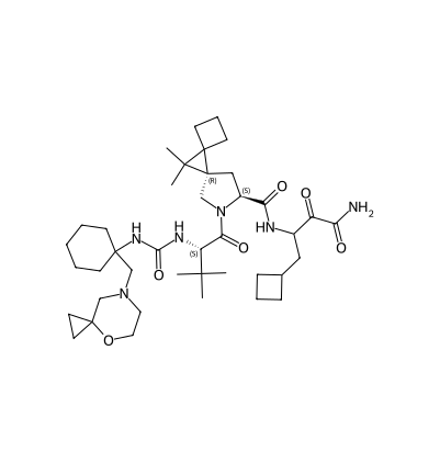 CC(C)(C)[C@H](NC(=O)NC1(CN2CCOC3(CC3)C2)CCCCC1)C(=O)N1C[C@]2(C[C@H]1C(=O)NC(CC1CCC1)C(=O)C(N)=O)C(C)(C)C21CCC1